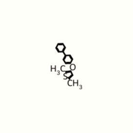 Cc1cc(Oc2ccc(-c3ccccc3)cc2)c(C)s1